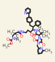 COC(=O)NCC(C)(C)CC(=O)NCCC(O)C(NC(=O)C(N1CC(=O)N(Cc2cccc(C)n2)C1=O)C(C)(C)C)C(Cc1ccc(-c2ccccn2)cc1)c1ccccc1